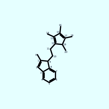 CC1=Cc2ccccc2C1CCC1=C(C)C(C)=C(C)C1C